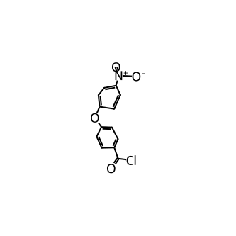 O=C(Cl)c1ccc(Oc2ccc([N+](=O)[O-])cc2)cc1